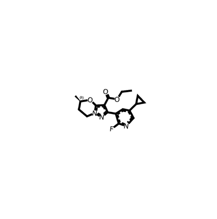 CCOC(=O)c1c(-c2cc(C3CC3)cnc2F)nn2c1O[C@H](C)CC2